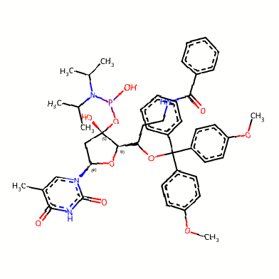 COc1ccc(C(OC(CCNC(=O)c2ccccc2)[C@H]2O[C@@H](n3cc(C)c(=O)[nH]c3=O)C[C@]2(O)OP(O)N(C(C)C)C(C)C)(c2ccccc2)c2ccc(OC)cc2)cc1